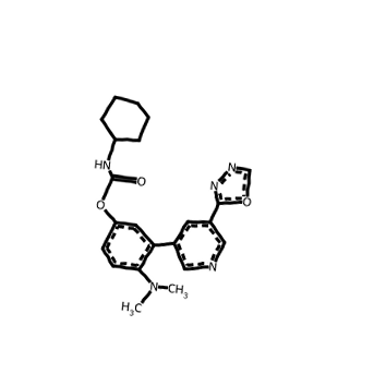 CN(C)c1ccc(OC(=O)NC2CCCCC2)cc1-c1cncc(-c2nnco2)c1